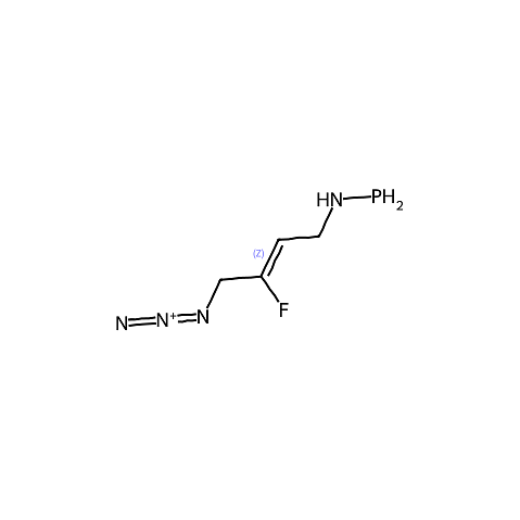 [N-]=[N+]=NC/C(F)=C/CNP